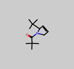 CC(C)(C)C(=O)N1CC=CC1C(C)(C)C